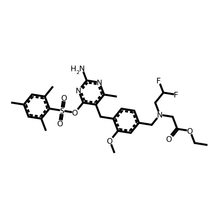 CCOC(=O)CN(Cc1ccc(Cc2c(C)nc(N)nc2OS(=O)(=O)c2c(C)cc(C)cc2C)c(OC)c1)CC(F)F